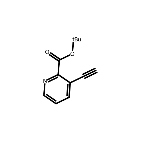 C#Cc1cccnc1C(=O)OC(C)(C)C